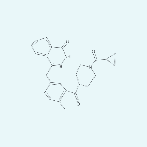 Cc1ccc(Cc2n[nH]c(=O)c3ccccc23)cc1C(=O)N1CCN(C(=O)C2CC2)CC1